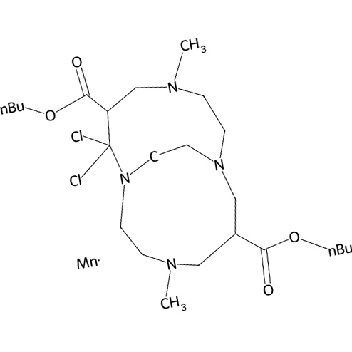 CCCCOC(=O)C1CN(C)CCN2CCN(CCN(C)CC(C(=O)OCCCC)C2(Cl)Cl)C1.[Mn]